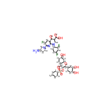 Cc1ccc(S(=O)(=O)Oc2c(-c3ccc(O)c(O)c3)oc3cc(O)ccc3c2=O)cc1.NC1CCN(c2nc3c(cc2F)c(=O)c(C(=O)O)cn3-c2ccc(F)cc2F)C1